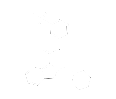 CS(=O)(=O)c1cncc(NC(=O)c2c3ccccc3nn2CC2CCCCC2)c1